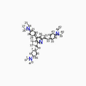 CCN(CC)c1ccc(C=C2CCc3c2nc2c(c3-c3ccc(N(CC)CC)cc3)CCC2=Cc2ccc(N(CC)CC)cc2)cc1